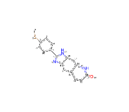 CSc1ccc(-c2nc3cc4ccc(=O)[nH]c4cc3[nH]2)cc1